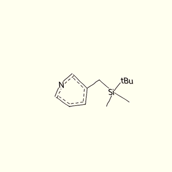 CC(C)(C)[Si](C)(C)Cc1cccnc1